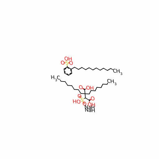 CCCCCCCCC(CCCCCCCC)(C(=O)O)C(C(=O)O)S(=O)(=O)O.CCCCCCCCCCCCc1ccccc1S(=O)(=O)O.[NaH].[NaH]